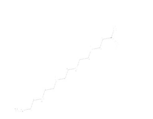 CCC(=O)CCOCCOCCOCCOCCNC